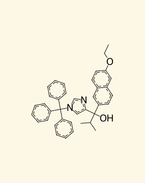 CCOc1ccc2cc(C(O)(c3cn(C(c4ccccc4)(c4ccccc4)c4ccccc4)cn3)C(C)C)ccc2c1